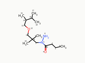 CCCC(=O)N(N)CC(C)(C)COCC(C)C(C)C